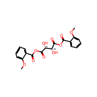 COc1ccccc1C(=O)OC(=O)[C@H](O)[C@@H](O)C(=O)OC(=O)c1ccccc1OC